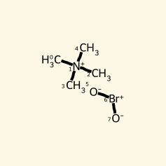 C[N+](C)(C)C.[O-][Br+][O-]